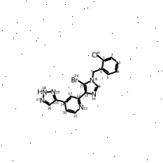 Clc1ccccc1Cn1cnc(-c2cc(-c3cn[nH]n3)ccn2)c1Br